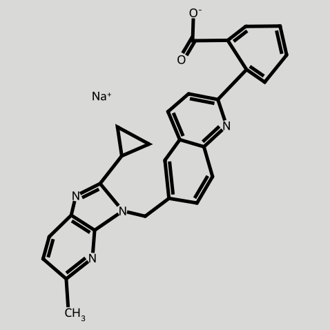 Cc1ccc2nc(C3CC3)n(Cc3ccc4nc(-c5ccccc5C(=O)[O-])ccc4c3)c2n1.[Na+]